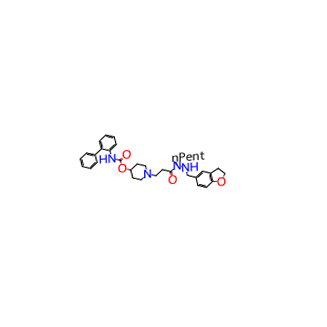 CCCCCN(NCc1ccc2c(c1)CCO2)C(=O)CCN1CCC(OC(=O)Nc2ccccc2-c2ccccc2)CC1